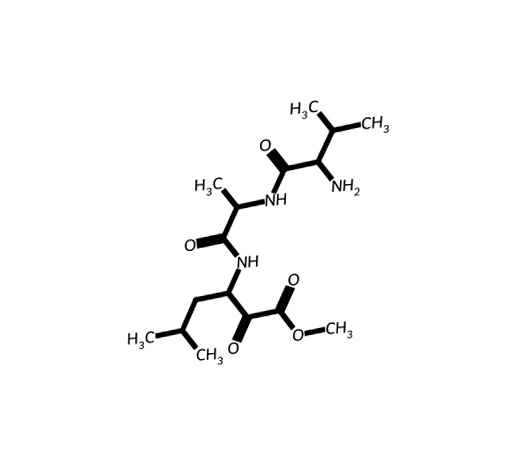 COC(=O)C(=O)C(CC(C)C)NC(=O)C(C)NC(=O)C(N)C(C)C